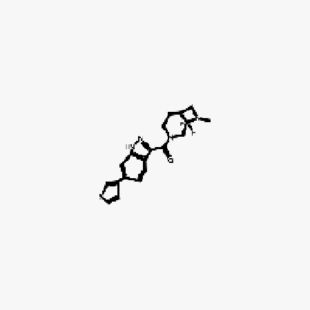 CN1CC2CCN(C(=O)c3n[nH]c4cc(-c5ccsc5)ccc34)C[C@H]21